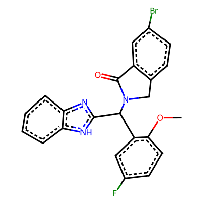 COc1ccc(F)cc1C(c1nc2ccccc2[nH]1)N1Cc2ccc(Br)cc2C1=O